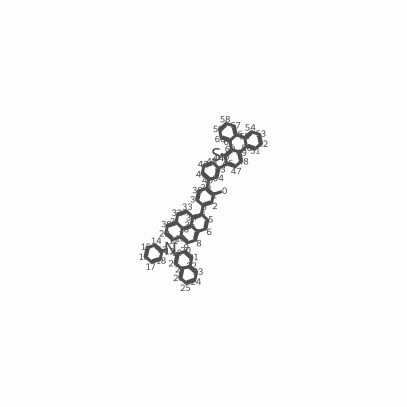 Cc1cc(-c2ccc3ccc4c(N(c5ccccc5)c5ccc6ccccc6c5)ccc5ccc2c3c54)ccc1-c1ccc2sc3c(ccc4c5ccccc5c5ccccc5c43)c2c1